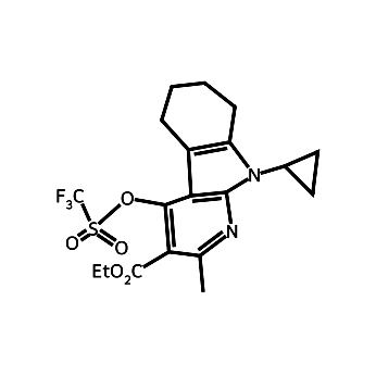 CCOC(=O)c1c(C)nc2c(c3c(n2C2CC2)CCCC3)c1OS(=O)(=O)C(F)(F)F